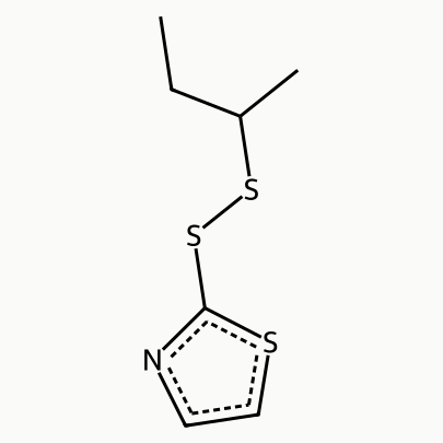 CCC(C)SSc1nccs1